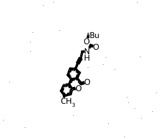 Cc1ccc2c(c1)oc(=O)c1cc(C#CCNC(=O)OC(C)(C)C)ccc12